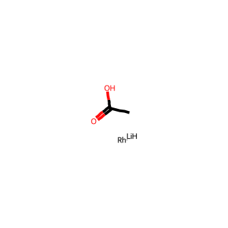 CC(=O)O.[LiH].[Rh]